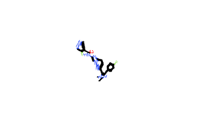 Cc1nc(-c2ccc(F)cc2)c(-c2ccc3nc(NC(=O)c4ccncc4F)cn3n2)n1C